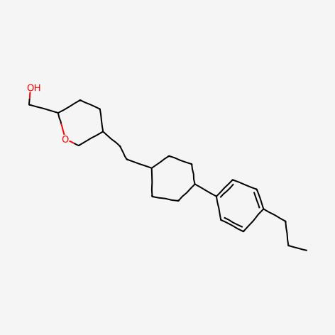 CCCc1ccc(C2CCC(CCC3CCC(CO)OC3)CC2)cc1